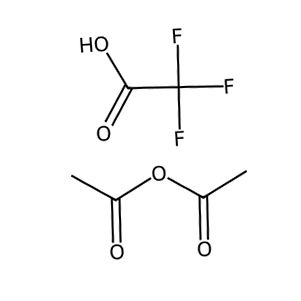 CC(=O)OC(C)=O.O=C(O)C(F)(F)F